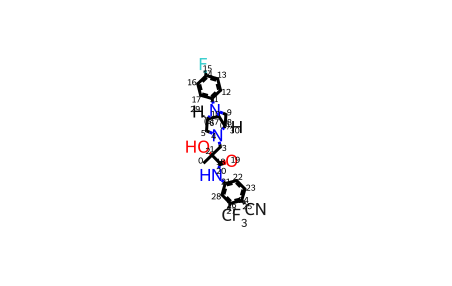 CC(O)(CN1C[C@@H]2C[C@H]1CN2c1ccc(F)cc1)C(=O)Nc1ccc(C#N)c(C(F)(F)F)c1